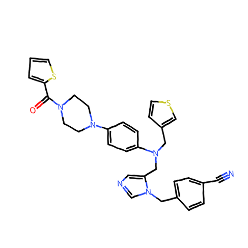 N#Cc1ccc(Cn2cncc2CN(Cc2ccsc2)c2ccc(N3CCN(C(=O)c4cccs4)CC3)cc2)cc1